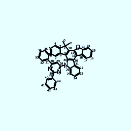 CC1(C)c2ccccc2-c2c1c1oc3ccccc3c1c1c3ccccc3n(-c3cc(-c4ccccc4)nc(-c4ccccc4)n3)c21